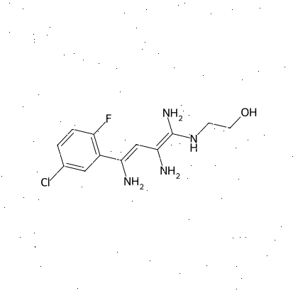 N/C(=C\C(N)=C(/N)NCCO)c1cc(Cl)ccc1F